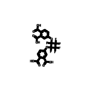 O=C(O)c1ccc(OC2(F)C(F)(F)C(F)(F)C2(F)Oc2ccc(C(=O)O)c(C(=O)O)c2)cc1C(=O)O